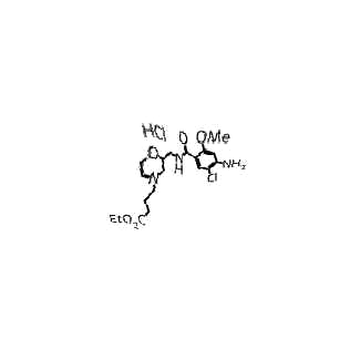 CCOC(=O)CCCN1CCOC(CNC(=O)c2cc(Cl)c(N)cc2OC)C1.Cl